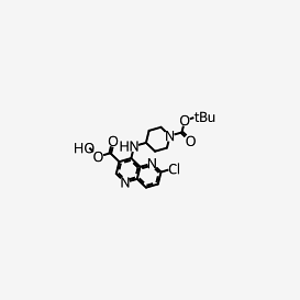 CC(C)(C)OC(=O)N1CCC(Nc2c(C(=O)OO)cnc3ccc(Cl)nc23)CC1